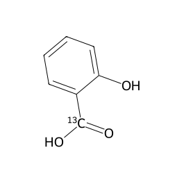 O=[13C](O)c1ccccc1O